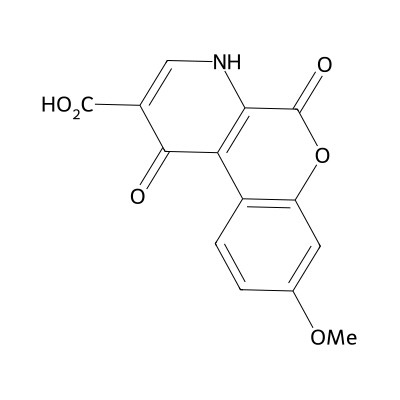 COc1ccc2c(c1)oc(=O)c1[nH]cc(C(=O)O)c(=O)c12